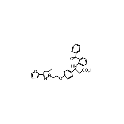 Cc1cc(-c2ccco2)nn1CCOc1ccc(C(CC(=O)O)Nc2ccccc2C(=O)c2ccccc2)cc1